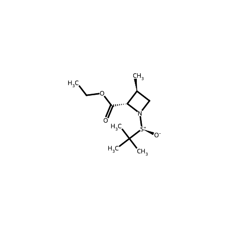 CCOC(=O)[C@@H]1[C@@H](C)CN1[S@@+]([O-])C(C)(C)C